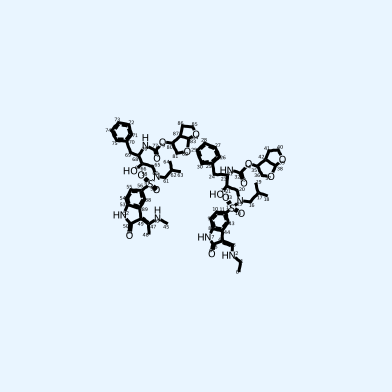 CCNC=C1C(=O)Nc2ccc(S(=O)(=O)N(CC(C)C)CC(O)C(Cc3ccccc3)NC(=O)OC3COC4OCCC34)cc21.CNC(C)=C1C(=O)Nc2ccc(S(=O)(=O)N(CC(C)C)CC(O)C(Cc3ccccc3)NC(=O)OC3COC4OCCC34)cc21